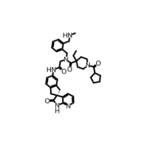 CCC1(C(=O)N(CC(=O)Nc2ccc3c(c2)C[C@@]2(C3)C(=O)Nc3ncccc32)Cc2ccccc2CNC)CCN(C(=O)C2CCCC2)CC1